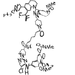 CNC(=O)COc1cc2cc(Nc3nc(N4CCC(C(=O)NCCCCCC(=O)N5CCC(n6nc(N7CCCc8cc(-c9cnn(C)c9)c(C(F)F)cc87)c7c6CCN(C(=O)NC)C7)CC5)CC4)ncc3Cl)cc(OC)c2n(C)c1=O